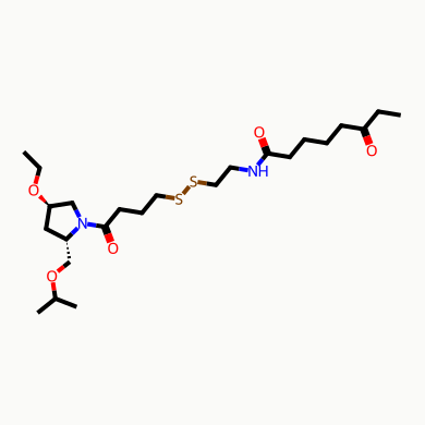 CCO[C@@H]1C[C@@H](COC(C)C)N(C(=O)CCCSSCCNC(=O)CCCCC(=O)CC)C1